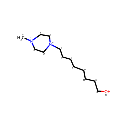 CN1CCN(CCCCCCCCO)CC1